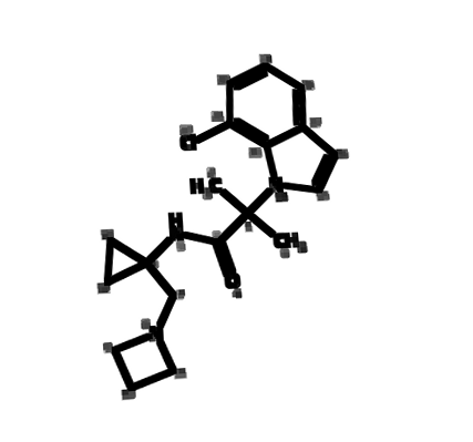 CC(C)(C(=O)NC1(CN2CCC2)CC1)n1ccc2cccc(Cl)c21